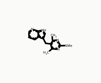 CSc1nc(C)c(Cc2c[nH]c3ncccc23)c(C)n1